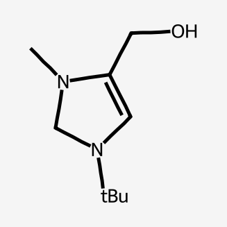 CN1CN(C(C)(C)C)C=C1CO